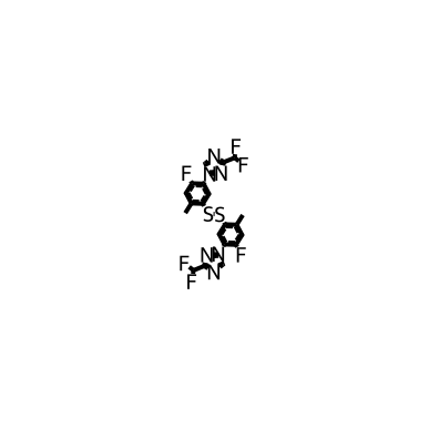 Cc1cc(F)c(-n2cnc(C(F)F)n2)cc1SSc1cc(-n2cnc(C(F)F)n2)c(F)cc1C